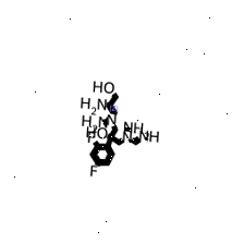 N=CN(N)CC(O)(CN(N)/C=C(\N)CO)c1ccc(F)cc1F